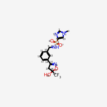 Cn1cnc(S(=O)(=O)NCc2cccc(C3=NOC(O)(C(F)(F)F)C3)c2)c1